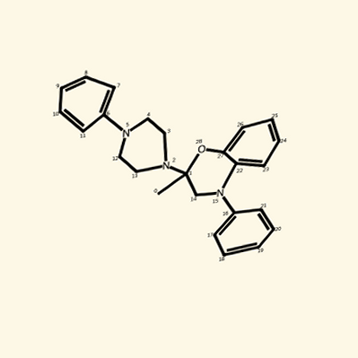 CC1(N2CCN(c3ccccc3)CC2)CN(c2ccccc2)c2ccccc2O1